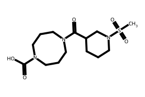 CS(=O)(=O)N1CCCC(C(=O)N2CCCN(C(=O)O)CCC2)C1